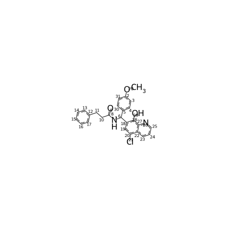 COc1ccc(C(NC(=O)CCc2ccccc2)c2cc(Cl)c3cccnc3c2O)cc1